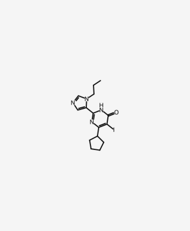 CCCn1cncc1-c1nc(C2CCCC2)c(I)c(=O)[nH]1